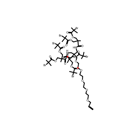 C=CCOCCOCCOCCOCCOCC(CNC(=O)C(C)(COC(=O)C(C)(C)Br)COC(=O)C(C)(C)Br)(CNC(=O)C(C)(COC(=O)C(C)(C)Br)COC(=O)C(C)(C)Br)CNC(=O)C(C)(COC(=O)C(C)(C)Br)COC(=O)C(C)(C)Br